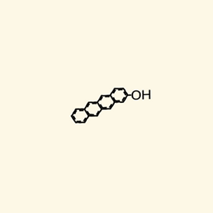 Oc1ccc2cc3cc4ccccc4cc3cc2c1